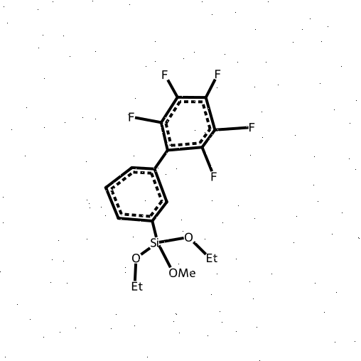 CCO[Si](OC)(OCC)c1cccc(-c2c(F)c(F)c(F)c(F)c2F)c1